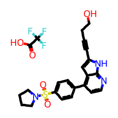 O=C(O)C(F)(F)F.O=S(=O)(c1ccc(-c2ccnc3[nH]c(C#CCCO)cc23)cc1)N1CCCC1